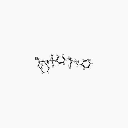 CCC1CC2CCCC(NS(=O)(=O)c3ccc(NC(=O)NCc4cccnc4)cc3)(C1)C2